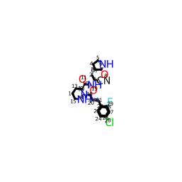 N#CC(C[C@@H]1CCNC1=O)NC(=O)[C@@H]1CCCNN1C(=O)/C=C/c1ccc(Cl)cc1F